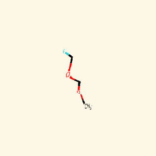 [CH2]OCOCF